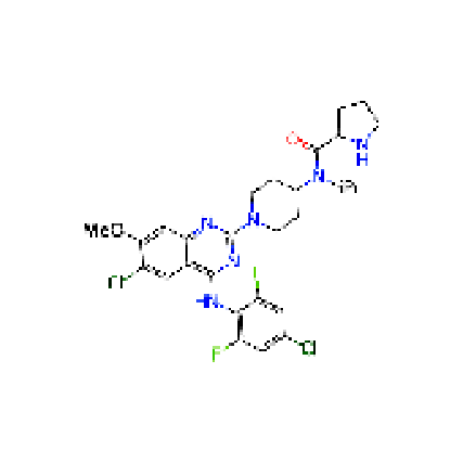 COc1cc2nc(N3CCC(N(C(=O)C4CCCN4)C(C)C)CC3)nc(Nc3c(F)cc(Cl)cc3F)c2cc1Cl